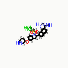 CCS(=O)(=O)N1c2ccc(OC3CCCNC3)cc2CC1c1ccc2ccc(C(=N)N)cc2c1.Cl.Cl